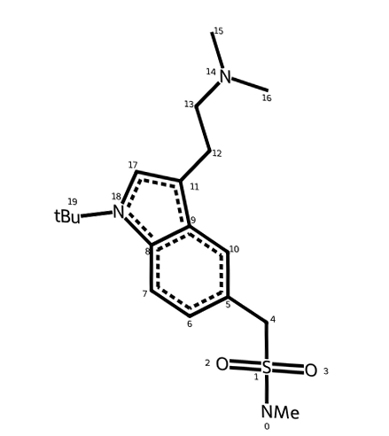 CNS(=O)(=O)Cc1ccc2c(c1)c(CCN(C)C)cn2C(C)(C)C